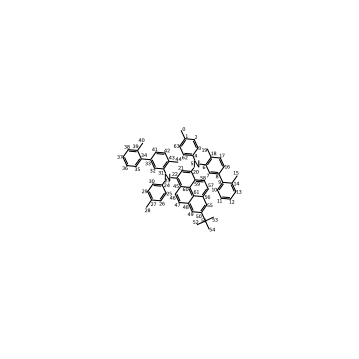 Cc1ccc(N(c2cc(-c3ccccc3C)ccc2C)c2cc(N(c3ccc(C)cc3)c3cc(-c4ccccc4C)ccc3C)c3ccc4cc(C(C)(C)C)cc5ccc2c3c54)cc1